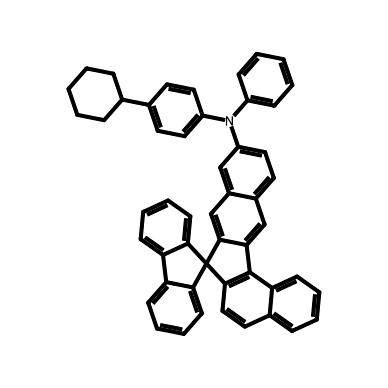 c1ccc(N(c2ccc(C3CCCCC3)cc2)c2ccc3cc4c(cc3c2)C2(c3ccccc3-c3ccccc32)c2ccc3ccccc3c2-4)cc1